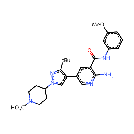 COc1cccc(NC(=O)c2cc(-c3cn(C4CCN(C(=O)O)CC4)nc3C(C)(C)C)cnc2N)c1